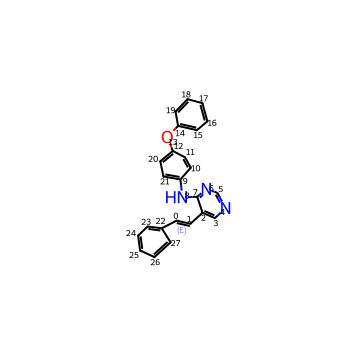 C(=C\c1cncnc1Nc1ccc(Oc2ccccc2)cc1)/c1ccccc1